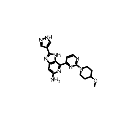 COC1CCN(c2nccc(-c3nc(N)cc4nc(-c5cn[nH]c5)[nH]c34)n2)CC1